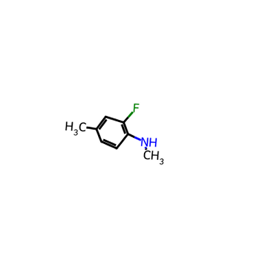 CNc1ccc(C)cc1F